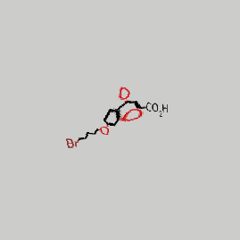 O=C(O)c1cc(=O)c2ccc(OCCCCCBr)cc2o1